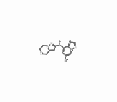 Brc1cc(Nc2cc3n(n2)CCOC3)c2ncnn2c1